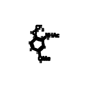 COc1ccc(OC(F)(F)F)c(NC(C)=O)c1